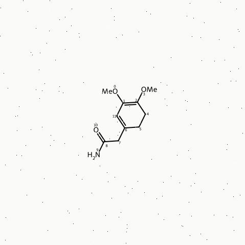 COC1=C(OC)CCC(CC(N)=O)=C1